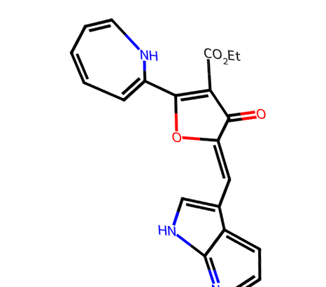 CCOC(=O)C1=C(C2=CC=CC=CN2)OC(=Cc2c[nH]c3ncccc23)C1=O